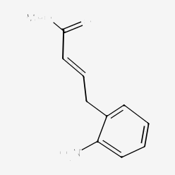 COC(=O)C=CCc1ccccc1[N+](=O)[O-]